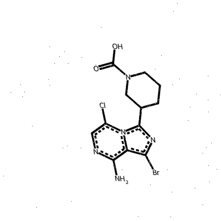 Nc1ncc(Cl)n2c(C3CCCN(C(=O)O)C3)nc(Br)c12